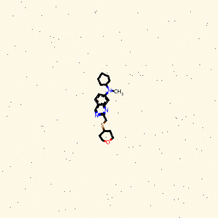 CN(c1ccc2cnc(CSC3CCOCC3)nc2c1)C1CCCCC1